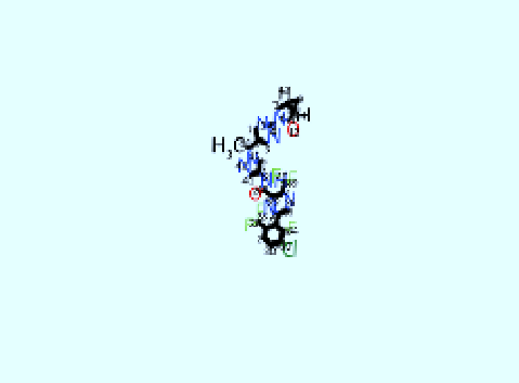 CC(c1cnc(N2C[C@H]3C[C@H]3C2=O)nc1)n1cc(NC(=O)c2nc(-c3c(C(F)F)ccc(Cl)c3F)cnc2C(F)F)cn1